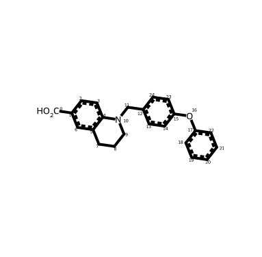 O=C(O)c1ccc2c(c1)CCCN2Cc1ccc(Oc2ccccc2)cc1